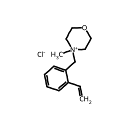 C=Cc1ccccc1C[N+]1(C)CCOCC1.[Cl-]